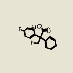 O=C(O)C(CF)(c1ccccc1)c1ccc(F)cc1